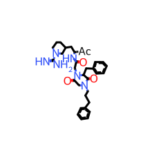 CC(=O)C(CC1CCCN(C(=N)N)C1)NC(=O)CN1C(=O)CN(CCCc2ccccc2)C(=O)C1Cc1ccccc1